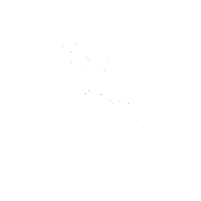 CCCCC#CCc1cn([C@H]2C[C@@H](O)C(COP(=O)(O)OP(=O)(O)OP(=O)(O)O)O2)c(=O)[nH]c1=O